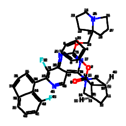 O=C(Oc1ccccc1)C1[C@@H]2CC[C@H]1CN(c1nc(OCC34CCCN3CCC4)nc3c(F)c(-c4cccc5cccc(F)c45)ncc13)C2